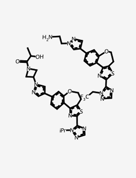 CC(O)C(=O)N1CC(n2cc(-c3ccc4c(c3)OCCc3sc(-c5ncnn5C(C)C)nc3-4)cn2)C1.NCCn1cc(-c2ccc3c(c2)OCCc2sc(-c4ncnn4CC(F)(F)F)nc2-3)cn1